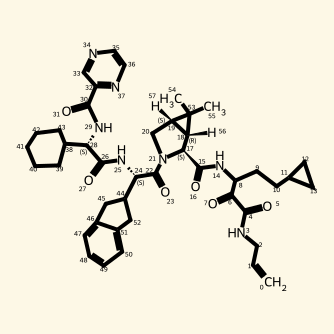 C=CCNC(=O)C(=O)C(CCC1CC1)NC(=O)[C@@H]1[C@@H]2[C@H](CN1C(=O)[C@@H](NC(=O)[C@@H](NC(=O)c1cnccn1)C1CCCCC1)C1Cc3ccccc3C1)C2(C)C